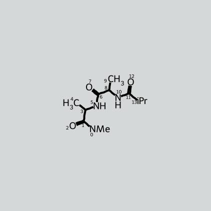 CNC(=O)C(C)NC(=O)C(C)NC(=O)C(C)C